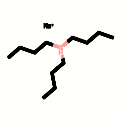 CCCC[BH-](CCCC)CCCC.[Na+]